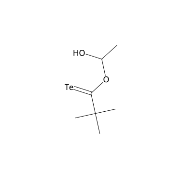 CC(O)OC(=[Te])C(C)(C)C